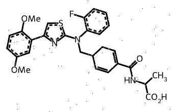 COc1ccc(OC)c(-c2csc(N(CC3C=CC(C(=O)NC(C)C(=O)O)=CC3)c3ccccc3F)n2)c1